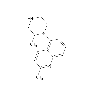 Cc1ccc2c(N3CCNCC3C)cccc2n1